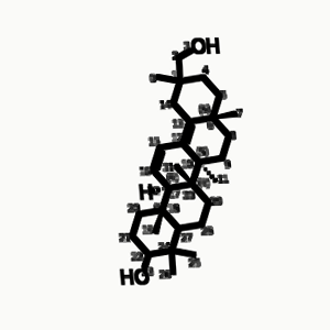 CC1(CO)CC[C@]2(C)CC[C@]3(C)C(=C2C1)C=C[C@@H]1[C@@]2(C)CCC(O)C(C)(C)C2CC[C@]13C